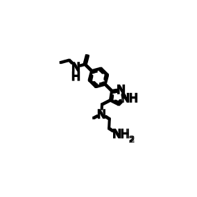 C=C(NCC)c1ccc(-c2n[nH]cc2CN(C)CCN)cc1